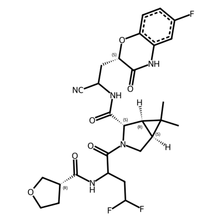 CC1(C)[C@@H]2[C@@H](C(=O)NC(C#N)C[C@@H]3Oc4ccc(F)cc4NC3=O)N(C(=O)C(CC(F)F)NC(=O)[C@@H]3CCOC3)C[C@@H]21